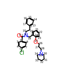 O=C(c1ccc(Cl)cc1)N(CCc1ccccc1)Cc1ccccc1OCCCN1CCCCC1